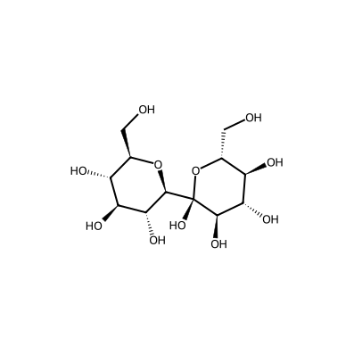 OC[C@H]1O[C@@H]([C@]2(O)O[C@H](CO)[C@@H](O)[C@H](O)[C@H]2O)[C@H](O)[C@@H](O)[C@@H]1O